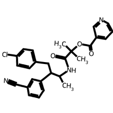 CC(NC(=O)C(C)(C)OC(=O)c1cccnc1)C(Cc1ccc(Cl)cc1)c1cccc(C#N)c1